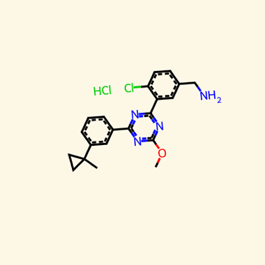 COc1nc(-c2cccc(C3(C)CC3)c2)nc(-c2cc(CN)ccc2Cl)n1.Cl